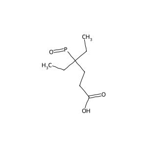 CCC(CC)(CCC(=O)O)P=O